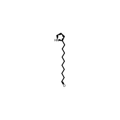 O=CCCCCCCCCCc1ccc[nH]1